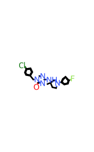 CC1(Nc2ncn(Cc3ccc(Cl)cc3)c(=O)n2)CCN(c2ccc(F)cc2)C1